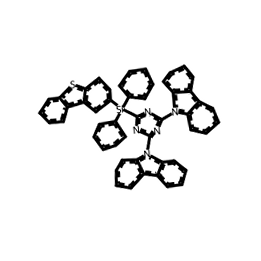 c1ccc([Si](c2ccccc2)(c2ccc3sc4ccccc4c3c2)c2nc(-n3c4ccccc4c4ccccc43)nc(-n3c4ccccc4c4ccccc43)n2)cc1